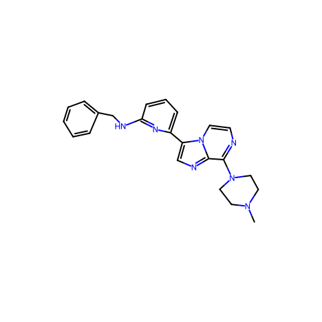 CN1CCN(c2nccn3c(-c4cccc(NCc5ccccc5)n4)cnc23)CC1